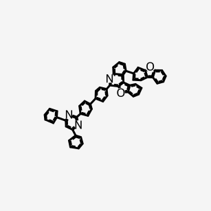 c1ccc(-c2cc(-c3ccccc3)nc(-c3ccc(-c4ccc(-c5nc6cccc(-c7ccc8c(c7)oc7ccccc78)c6c6c5oc5ccccc56)cc4)cc3)n2)cc1